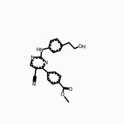 COC(=O)c1ccc(-c2nc(Nc3ccc(CCO)cc3)ncc2C#N)cc1